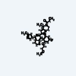 C=CC(=O)N1CCn2nc(-c3nc(-c4cnn(C)c4)c4ccsc4c3-c3c(F)cc(F)cc3OCCOC)cc2[C@@H]1C